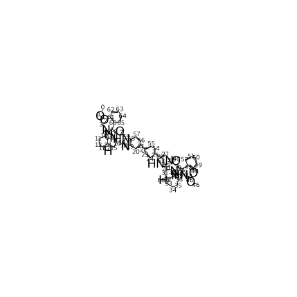 COO/C=N\[C@@H](C(=O)N1[C@@H]2CCCC[C@@H]2C[C@H]1c1nc2cc(-c3ccc(-c4cnc([C@@H]5C[C@H]6CCCC[C@H]6N5C(=O)[C@H](NC(=O)OC)c5ccccc5)[nH]4)cc3)ccc2[nH]1)c1ccccc1